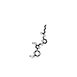 CCCCCC(=O)OCC1CCCC(OCC2OC(N3/C=N\C(N)=N/COC3)CC2O)O1